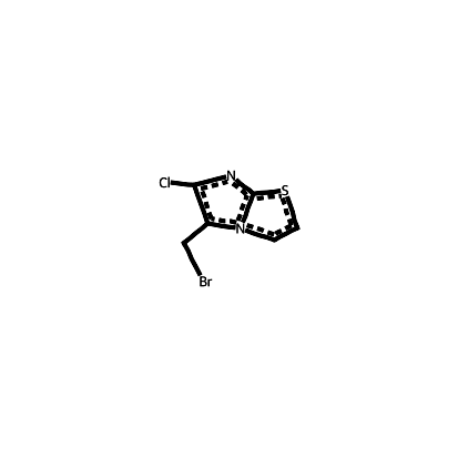 Clc1nc2sccn2c1CBr